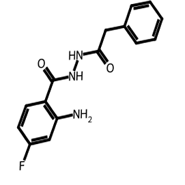 Nc1cc(F)ccc1C(=O)NNC(=O)Cc1ccccc1